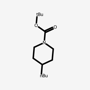 CCCCC1CCN(C(=O)OC(C)(C)C)CC1